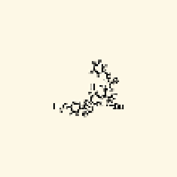 Cc1ccc(S(=O)(=O)Oc2ccc(C(C(=O)OC(C)(C)C)C(N)CC(=O)OCc3ccccc3)cc2)cc1